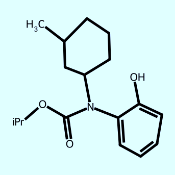 CC1CCCC(N(C(=O)OC(C)C)c2ccccc2O)C1